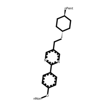 CCCCCCCCCOc1ccc(-c2ncc(CC[C@H]3CC[C@H](CCCCC)CC3)cn2)cc1